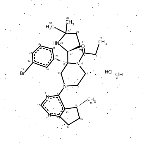 CCC(=O)N1CCN(c2ncnc3c2[C@H](C)CC3)C[C@@]1(c1cccc(Br)c1)[C@@H]1CCC(C)(C)N1.Cl.Cl